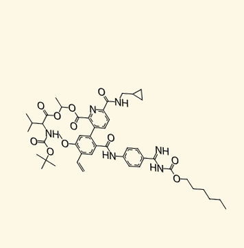 C=Cc1cc(C(=O)Nc2ccc(C(=N)NC(=O)OCCCCCC)cc2)c(-c2ccc(C(=O)NCC3CC3)nc2C(=O)OC(C)OC(=O)C(NC(=O)OC(C)(C)C)C(C)C)cc1OC